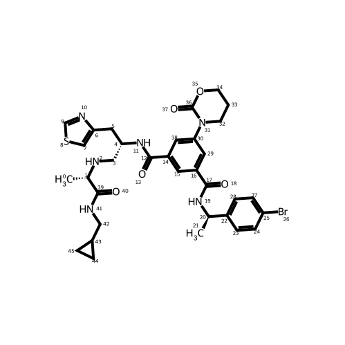 C[C@H](NC[C@H](Cc1cscn1)NC(=O)c1cc(C(=O)N[C@H](C)c2ccc(Br)cc2)cc(N2CCCOC2=O)c1)C(=O)NCC1CC1